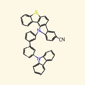 N#Cc1ccc2c(c1)c1ccc3sc4ccccc4c3c1n2-c1cccc(-c2cccc(-n3c4ccccc4c4ccccc43)c2)c1